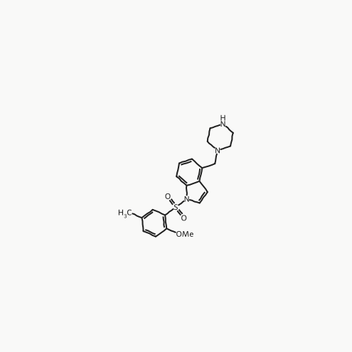 COc1ccc(C)cc1S(=O)(=O)n1ccc2c(CN3CCNCC3)cccc21